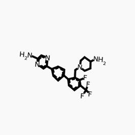 Nc1cnc(-c2ccc(-c3ccc(C(F)(F)F)c(F)c3CN3CCC(N)CC3)cc2)cn1